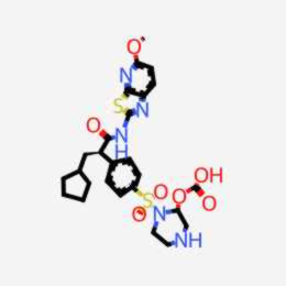 COc1ccc2nc(NC(=O)[C@H](CC3CCCC3)c3ccc(S(=O)(=O)N4CCNCC4OC(=O)O)cc3)sc2n1